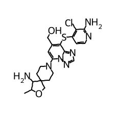 CC1OCC2(CCN(c3cc(CO)c(Sc4ccnc(N)c4Cl)c4ncnn34)CC2)C1N